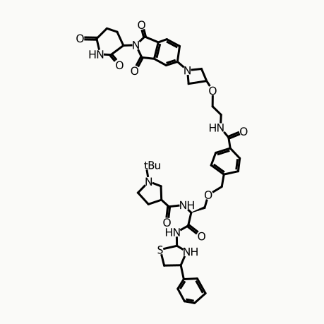 CC(C)(C)N1CCC(C(=O)N[C@@H](COCc2ccc(C(=O)NCCOC3CN(c4ccc5c(c4)C(=O)N(C4CCC(=O)NC4=O)C5=O)C3)cc2)C(=O)NC2NC(c3ccccc3)CS2)C1